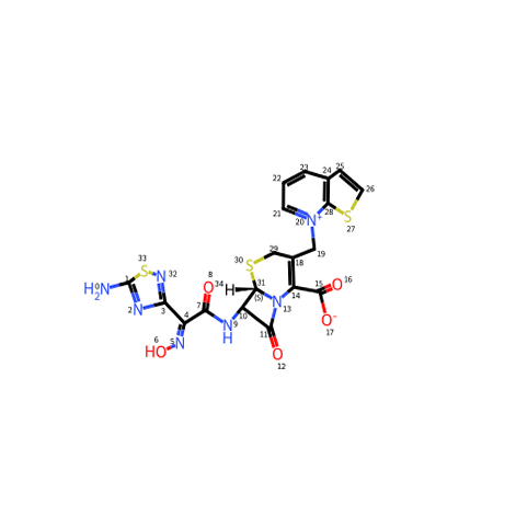 Nc1nc(C(=NO)C(=O)NC2C(=O)N3C(C(=O)[O-])=C(C[n+]4cccc5ccsc54)CS[C@@H]23)ns1